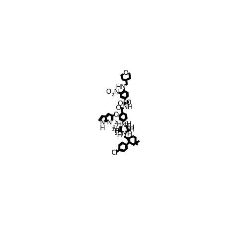 [2H]C1([2H])N(CC2=C(c3ccc(Cl)cc3)CC(C)(C)CC2)C([2H])([2H])C([2H])([2H])N(c2ccc(C(=O)NS(=O)(=O)c3ccc(NCC4CCOCC4)c([N+](=O)[O-])c3)c(Oc3cnc4[nH]ccc4c3)c2)C1([2H])[2H]